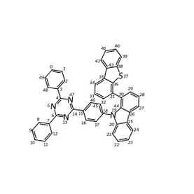 c1ccc(-c2nc(-c3ccccc3)nc(-c3ccc(-n4c5ccccc5c5cccc(-c6cccc7c6sc6ccccc67)c54)cc3)n2)cc1